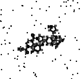 CC(=O)N1CCN(C(=O)N2CC[C@@](Sc3ccc(F)cc3)(c3ccc(C(OCC4CCNC4)(C(F)(F)F)C(F)(F)F)cc3)C2)CC1